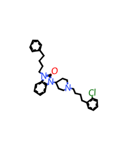 O=c1n(CCCCc2ccccc2)c2ccccc2n1C1CCN(CCCCc2ccccc2Cl)CC1